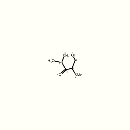 CSC(CO)C(=O)N(C)C